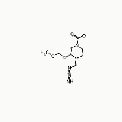 COCOC1CN(C(=O)[O-])CCC1CN=[N+]=N